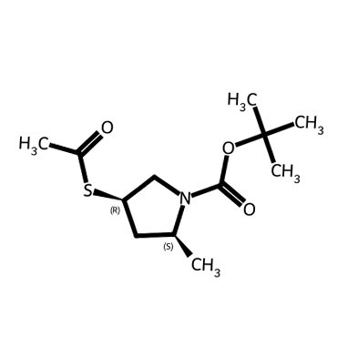 CC(=O)S[C@@H]1C[C@H](C)N(C(=O)OC(C)(C)C)C1